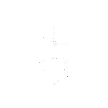 C[Si](C)(C)[C@]12C=CCC1C2